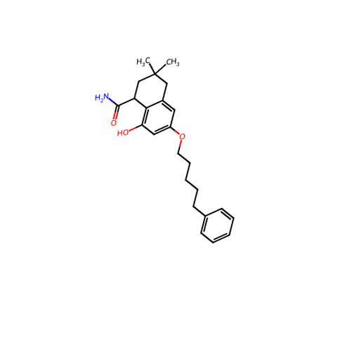 CC1(C)Cc2cc(OCCCCCc3ccccc3)cc(O)c2C(C(N)=O)C1